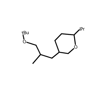 CC(COC(C)(C)C)CC1CCC(C(C)C)OC1